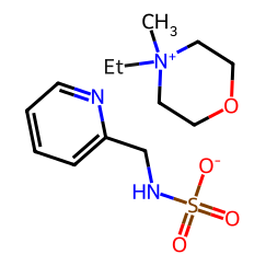 CC[N+]1(C)CCOCC1.O=S(=O)([O-])NCc1ccccn1